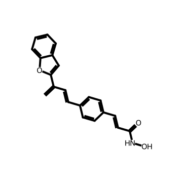 C=C(/C=C/c1ccc(/C=C/C(=O)NO)cc1)c1cc2ccccc2o1